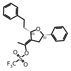 CC(OS(=O)(=O)C(F)(F)F)=C1C[C@@H](c2ccccc2)O[C@H]1CCc1ccccc1